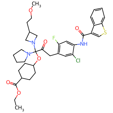 CCOC(=O)C1CCC(OC(C(=O)Cc2cc(Cl)c(NC(=O)c3csc4ccccc34)cc2F)(N2CCCC2)N2CC(CCOC)C2)CC1